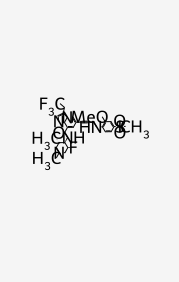 COc1cc(S(C)(=O)=O)ccc1NCC#Cc1cc(C(=O)N[C@@H]2[C@@H](C)CN(C)C[C@@H]2F)c2ncc(CC(F)(F)F)n2c1